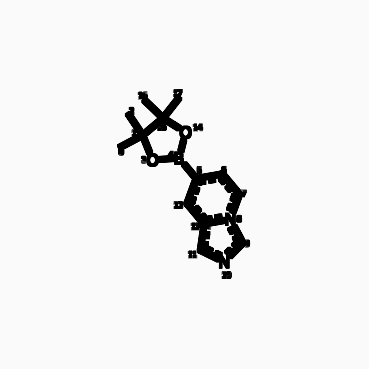 CC1(C)OB(c2ccn3cncc3c2)OC1(C)C